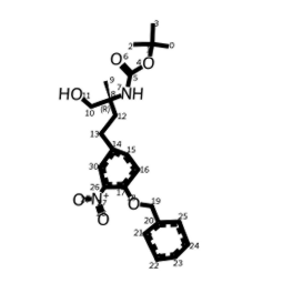 CC(C)(C)OC(=O)N[C@@](C)(CO)CCc1ccc(OCc2ccccc2)c([N+](=O)[O-])c1